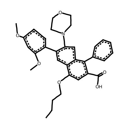 CCCCOc1cc(C(=O)O)c(-c2ccccc2)c2cc(N3CCOCC3)c(-c3ccc(OC)cc3OC)cc12